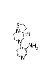 Nc1cnccc1N1CCN2SCC[C@H]2C1